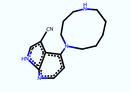 N#Cc1c[nH]c2nccc(N3CCCCCNCCC3)c12